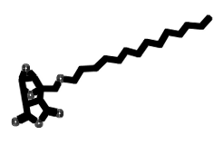 CCCCCCCCCCCCCCOCC12OC(C3OC31)C1C(=O)OC(=O)C12